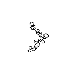 COC(=O)ON1CCC(NC(=O)c2cc3ccccc3n2Cc2cc(-c3ccc(Cl)s3)on2)CC1